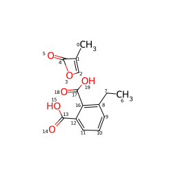 CC1=COC1=O.CCc1cccc(C(=O)O)c1C(=O)O